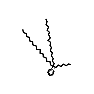 CCCCCCCCCCCCCCCCCCC(CCCCCCC)(CCCCCCCCCCCCCCCCCC)[n+]1ccccc1